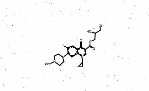 CCCN1CCN(c2cc3c(cc2F)c(=O)c(C(=O)OCC(O)CO)cn3C2CC2)CC1